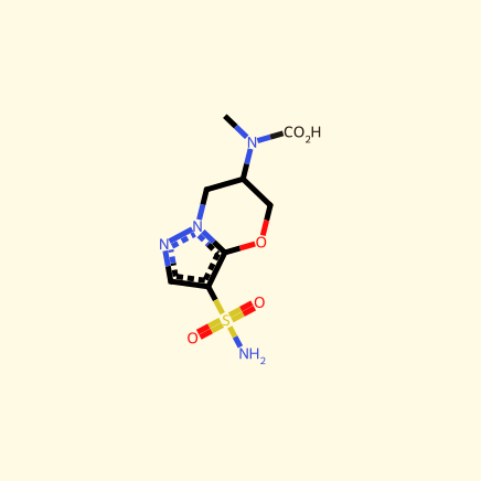 CN(C(=O)O)C1COc2c(S(N)(=O)=O)cnn2C1